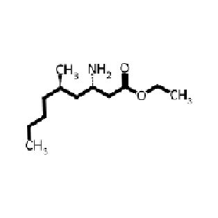 CCCC[C@@H](C)C[C@H](N)CC(=O)OCC